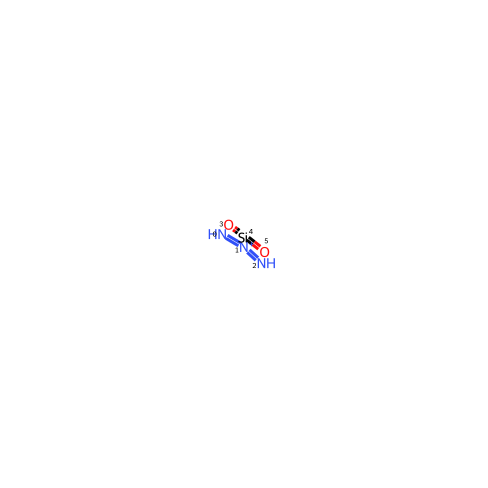 N=[N+]=N.O=[Si]=O